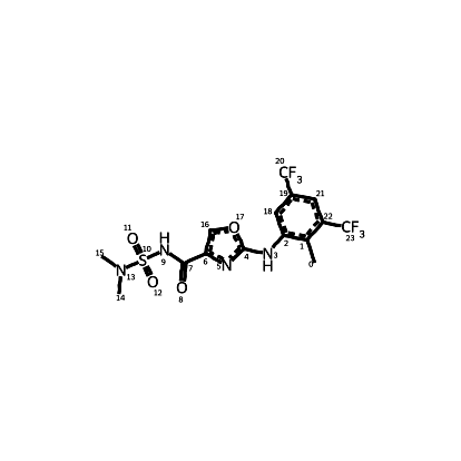 Cc1c(Nc2nc(C(=O)NS(=O)(=O)N(C)C)co2)cc(C(F)(F)F)cc1C(F)(F)F